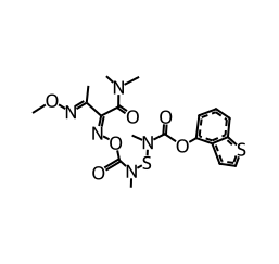 CON=C(C)C(=NOC(=O)N(C)SN(C)C(=O)Oc1cccc2sccc12)C(=O)N(C)C